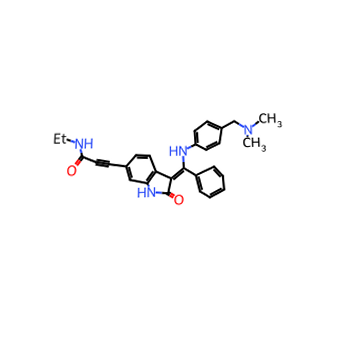 CCNC(=O)C#Cc1ccc2c(c1)NC(=O)/C2=C(/Nc1ccc(CN(C)C)cc1)c1ccccc1